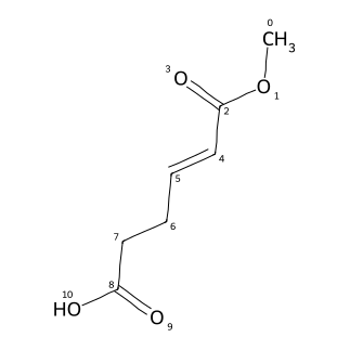 COC(=O)C=CCCC(=O)O